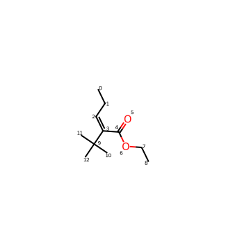 CCC=C(C(=O)OCC)C(C)(C)C